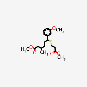 COC(=O)CCSC(CCC(C)CC(=O)OC)c1cccc(OC)c1